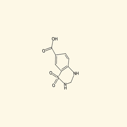 O=C(O)c1ccc2c(c1)S(=O)(=O)NCN2